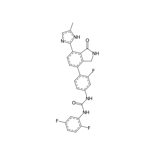 Cc1cnc(-c2ccc(-c3ccc(NC(=O)Nc4cc(F)ccc4F)cc3F)c3c2C(=O)NC3)[nH]1